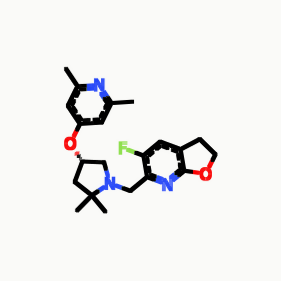 Cc1cc(O[C@@H]2CN(Cc3nc4c(cc3F)CCO4)C(C)(C)C2)cc(C)n1